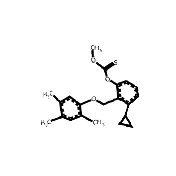 COC(=S)Oc1cccc(C2CC2)c1COc1cc(C)c(C)cc1C